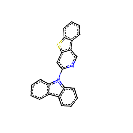 c1ccc2c(c1)sc1cc(-n3c4ccccc4c4ccccc43)ncc12